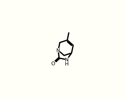 CC1=CC2CN(C1)C(=O)N2